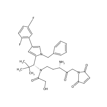 CC(C)(C)[C@H](c1cc(-c2cc(F)ccc2F)cn1Cc1ccccc1)N(CC[C@H](N)C(=O)CN1C(=O)C=CC1=O)C(=O)CO